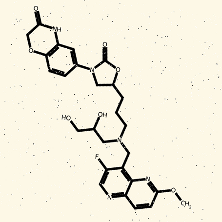 COc1ccc2ncc(F)c(CN(CCCC3CN(c4ccc5c(c4)NC(=O)CO5)C(=O)O3)CC(O)CO)c2n1